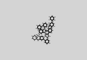 C[Si](C)(C)c1c[n+]2c(cc1CC1CCCCC1)-c1ccccc1C1Cc3c([n+]4c5ccccc5n(-c5ccccc5-c5ccccc5)c4c4c3ccc3c5ccc(-c6ccccc6)cc5sc34)C12